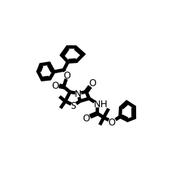 CC(C)(Oc1ccccc1)C(=O)NC1C(=O)N2C1SC(C)(C)C2C(=O)OC(c1ccccc1)c1ccccc1